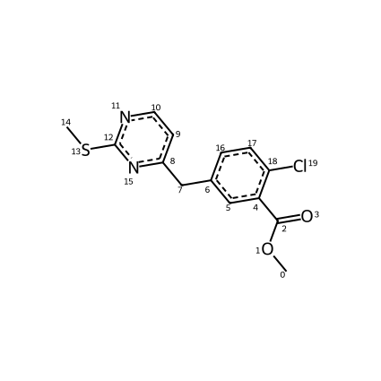 COC(=O)c1cc(Cc2ccnc(SC)n2)ccc1Cl